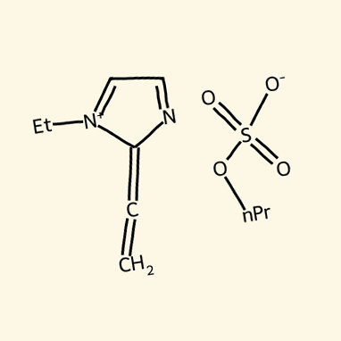 C=C=C1N=CC=[N+]1CC.CCCOS(=O)(=O)[O-]